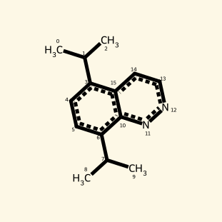 CC(C)c1ccc(C(C)C)c2nnccc12